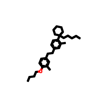 CCCCCC1(c2ccc(CCc3ccc(OCCCC)c(C)c3)cc2C)CCCCC1